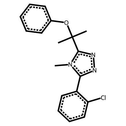 Cn1c(-c2ccccc2Cl)nnc1C(C)(C)Oc1ccccc1